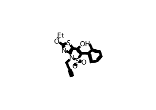 C#CCN1c2nc(OCC)sc2C(O)=C(c2ccccc2C)S1(=O)=O